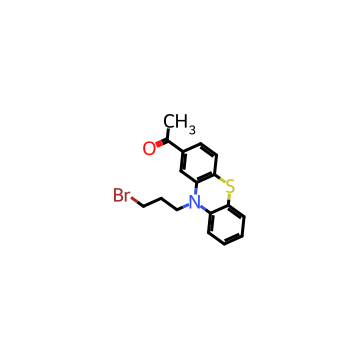 CC(=O)c1ccc2c(c1)N(CCCBr)c1ccccc1S2